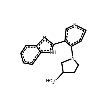 O=C(O)C1CCN(c2ccncc2-c2nc3ccccc3[nH]2)C1